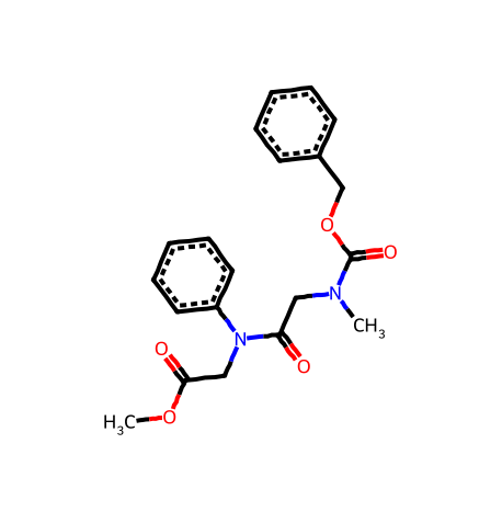 COC(=O)CN(C(=O)CN(C)C(=O)OCc1ccccc1)c1ccccc1